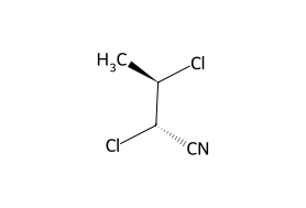 C[C@@H](Cl)[C@@H](Cl)C#N